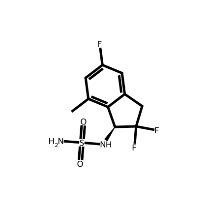 Cc1cc(F)cc2c1[C@H](NS(N)(=O)=O)C(F)(F)C2